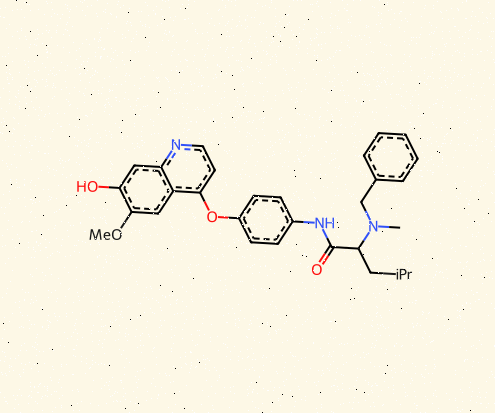 COc1cc2c(Oc3ccc(NC(=O)C(CC(C)C)N(C)Cc4ccccc4)cc3)ccnc2cc1O